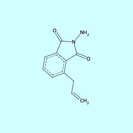 C=CCc1cccc2c1C(=O)N(N)C2=O